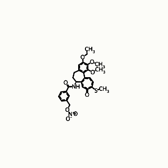 CCOc1cc2c(c(OC)c1OC)-c1ccc(SC)c(=O)cc1[C@@H](NC(=O)c1cccc(CO[N+](=O)[O-])c1)CC2